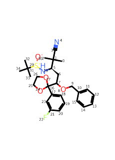 CC(C)(C#N)[C@@H](CC(OCc1ccccc1)C1(c2cccc(F)c2)OCCO1)N[S@@+]([O-])C(C)(C)C